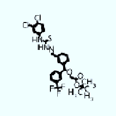 CC(C)(C)OC(=O)COC(c1cccc(C=NNC(=S)Nc2ccc(Cl)c(Cl)c2)c1)c1cccc(C(F)(F)F)c1